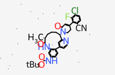 C[C@@H]1CCC[C@H](N2CCC(c3c(C#N)ccc(Cl)c3F)=CC2=O)c2cc(ccn2)-c2ccc(NC(=O)OC(C)(C)C)cc2NC1=O